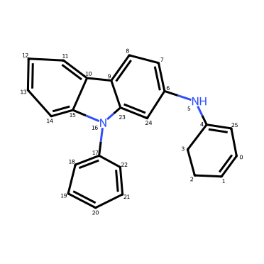 C1=CCCC(Nc2ccc3c4ccccc4n(-c4ccccc4)c3c2)=C1